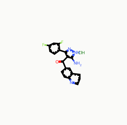 Cl.Nc1[nH]nc(-c2ccc(F)cc2F)c1C(=O)c1ccc2ncccc2c1